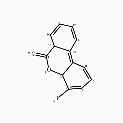 O=C1OC2C(I)=CC=CC2=C2C=CC=CC12